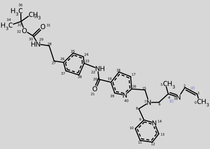 C/C=C\N=C(/C)CN(Cc1ccccn1)Cc1ccc(C(=O)Nc2ccc(CCNC(=O)OC(C)(C)C)cc2)cn1